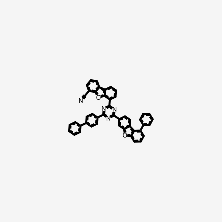 N#Cc1cccc2c1oc1c(-c3nc(-c4ccc(-c5ccccc5)cc4)nc(-c4ccc5c(c4)oc4cccc(-c6ccccc6)c45)n3)cccc12